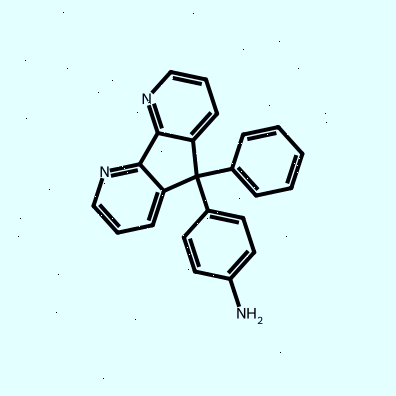 Nc1ccc(C2(c3ccccc3)c3cccnc3-c3ncccc32)cc1